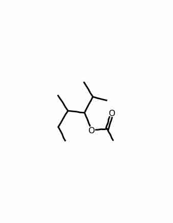 CCC(C)C(OC(C)=O)C(C)C